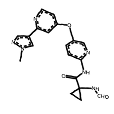 Cn1cc(-c2cc(Oc3ccc(NC(=O)C4(NC=O)CC4)nc3)ccn2)cn1